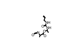 C=CCNC(=O)NC(C)OC(=O)C(C)N=C=O